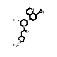 C[C@@H]1C[C@H](c2ccc(C3C=N3)c3ncccc23)CN(C(=O)CC2CCN(C)C2)C1